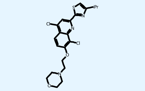 CC(C)c1csc(-c2cc(Cl)c3ccc(OCCN4CCOCC4)c(Cl)c3n2)n1